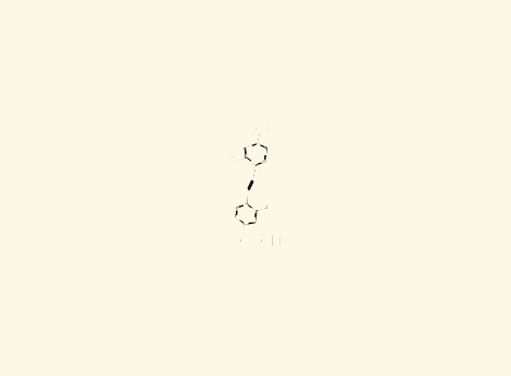 O=C(O)c1ccc(C#Cc2ccc(O)cc2F)c(Cl)c1